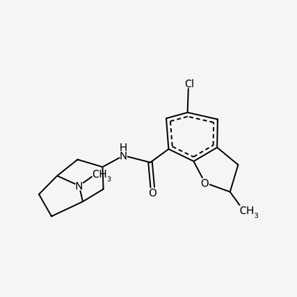 CC1Cc2cc(Cl)cc(C(=O)NC3CC4CCC(C3)N4C)c2O1